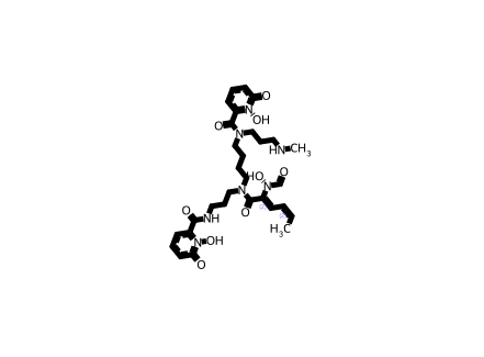 C/C=C\C=C(\C(=O)N(CCCCN(CCCNC)C(=O)c1cccc(=O)n1O)CCCNC(=O)c1cccc(=O)n1O)N(O)C=O